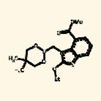 CCOc1nc2cccc(C(=O)OC)c2n1CB1OCC(C)(C)CO1